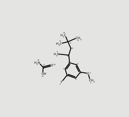 COc1cc(F)cc(C(N)CC(C)(C)C)c1.NC(=O)O